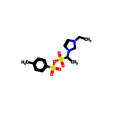 CCN1C=CN(C(C)S(=O)(=O)OS(=O)(=O)c2ccc(C)cc2)C1